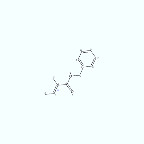 C/C=C(\C)C(=O)OCc1ccccc1